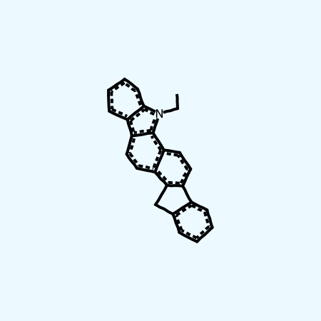 CCn1c2ccccc2c2ccc3c4c(ccc3c21)-c1ccccc1C4